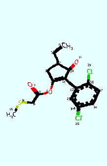 CCC1CC(OC(=O)CSC)=C(c2cc(Cl)ccc2Cl)C1=O